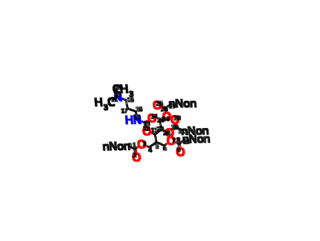 CCCCCCCCCC(=O)OCC(COC(=O)CCCCCCCCC)C(OC(=O)NCCCN(C)C)C(COC(=O)CCCCCCCCC)OC(=O)CCCCCCCCC